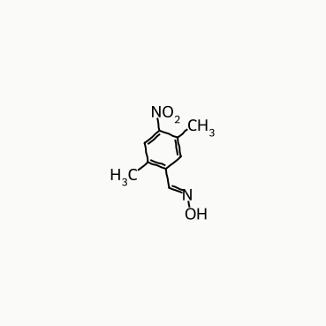 Cc1cc([N+](=O)[O-])c(C)cc1C=NO